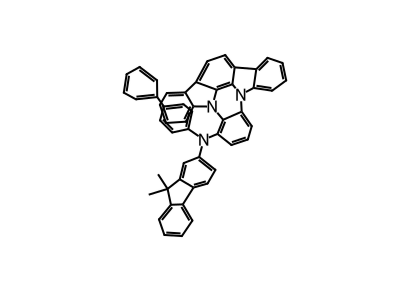 CC1(C)c2ccccc2-c2ccc(N(c3ccc(-c4ccccc4)cc3)c3cccc4c3n3c5ccccc5c5ccc6c7ccccc7n4c6c53)cc21